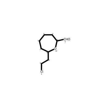 O=CC1CCCCC(CCCl)O1